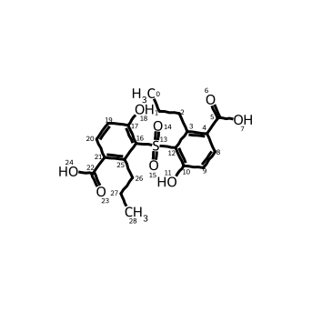 CCCc1c(C(=O)O)ccc(O)c1S(=O)(=O)c1c(O)ccc(C(=O)O)c1CCC